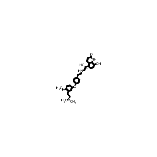 COc1ccc(Oc2ccc(CCNC[C@H](O)c3ccc(O)c4[nH]c(=O)ccc34)cc2)cc1CCN(C)C